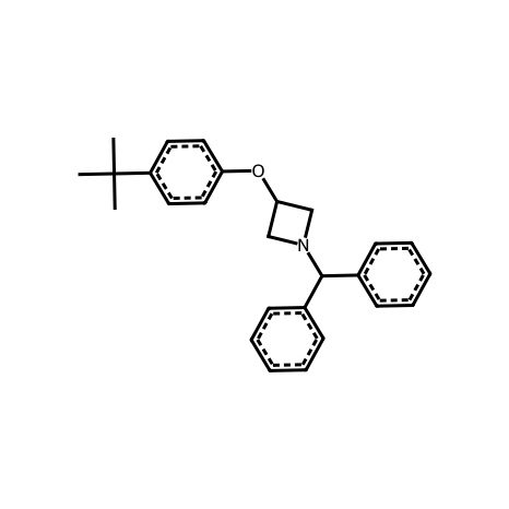 CC(C)(C)c1ccc(OC2CN(C(c3ccccc3)c3ccccc3)C2)cc1